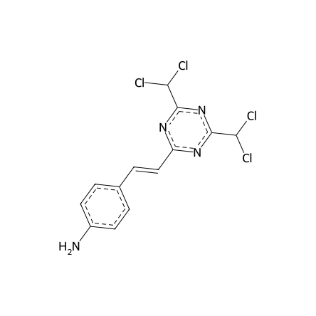 Nc1ccc(C=Cc2nc(C(Cl)Cl)nc(C(Cl)Cl)n2)cc1